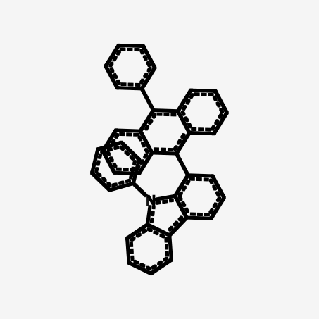 c1ccc(-c2c3ccccc3c(-c3cccc4c5ccccc5n(-c5ccccc5)c34)c3ccccc23)cc1